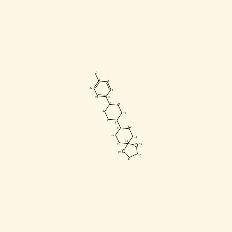 Cc1ccc(C2CCC(C3CCC4(CC3)OCCO4)CC2)cc1